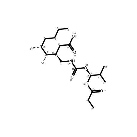 CCCC[C@@H](C)[C@@H](C)[C@H](CNC(=O)O[C@H](OC(=O)CC)C(C)C)CC(=O)O